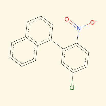 O=[N+]([O-])c1ccc(Cl)cc1-c1cccc2ccccc12